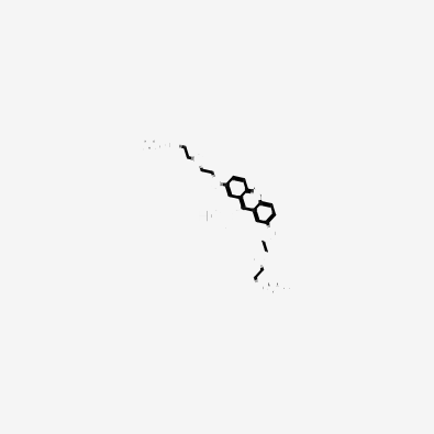 COCCOCCOc1ccc2nc3ccc(OCCOCCOC)cc3c(C(=O)O)c2c1